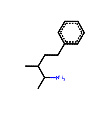 CC(N)C(C)CCc1ccccc1